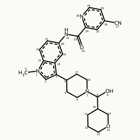 Cn1cc(C2CCN(C(O)C3CCCOC3)CC2)c2cc(NC(=O)c3cc(C#N)ccn3)ccc21